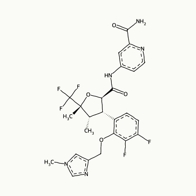 C[C@H]1[C@@H](c2ccc(F)c(F)c2OCc2cn(C)cn2)[C@H](C(=O)Nc2ccnc(C(N)=O)c2)O[C@@]1(C)C(F)(F)F